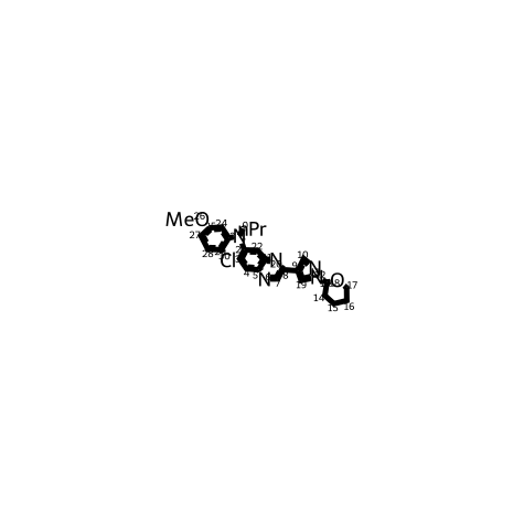 CCCN(c1ccc2ncc(-c3cnn(C4CCCCO4)c3)nc2c1)c1cc(OC)ccc1Cl